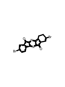 O=c1c2c(c3nc4c(=O)c5cc(Br)ccc5c4nc13)CCC(Br)=C2